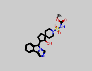 CC(C)(C)OC(=O)NS(=O)(=O)N1CCC2(CCC(C3c4ccccc4-c4cncn43)C2O)CC1